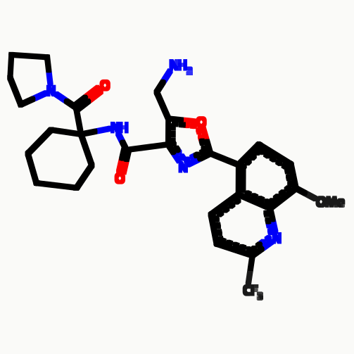 COc1ccc(-c2nc(C(=O)NC3(C(=O)N4CCCC4)CCCCC3)c(CN)o2)c2ccc(C(F)(F)F)nc12